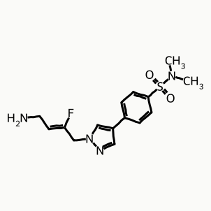 CN(C)S(=O)(=O)c1ccc(-c2cnn(CC(F)=CCN)c2)cc1